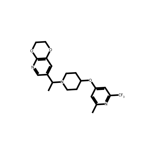 Cc1cc(OC2CCN(C(C)c3cnc4c(c3)OCCO4)CC2)cc(C(F)(F)F)n1